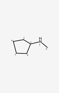 CNC1C[CH]CC1